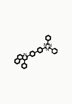 C1=CCC(c2nc(-c3ccccc3)nc(-c3ccc(-c4ccc(-c5cc(-c6ccccc6)c6c(ccc7ccccc76)n5)cc4)cc3)n2)C=C1